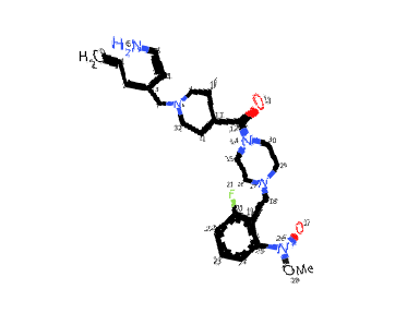 C=C/C=C(\C=C/N)CN1CCC(C(=O)N2CCN(Cc3c(F)cccc3[N+](=O)OC)CC2)CC1